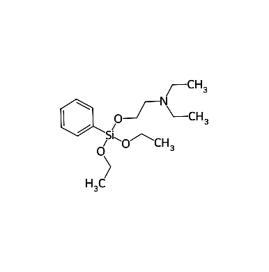 CCO[Si](OCC)(OCCN(CC)CC)c1ccccc1